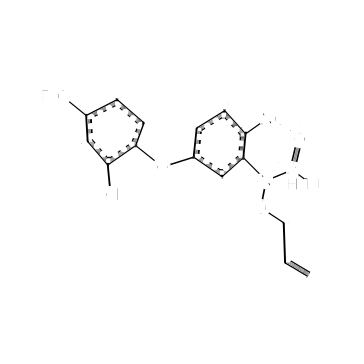 C=CCON(c1cc(Oc2ccc(C(F)(F)F)cc2Cl)ccc1[N+](=O)[O-])[PH](=O)CC